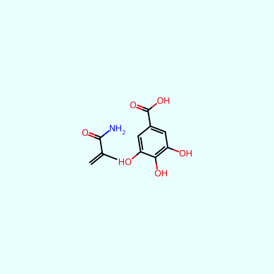 C=C(C)C(N)=O.O=C(O)c1cc(O)c(O)c(O)c1